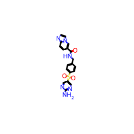 Nc1ncc(S(=O)(=O)c2ccc(CNC(=O)c3ccc4nccn4c3)cc2)cn1